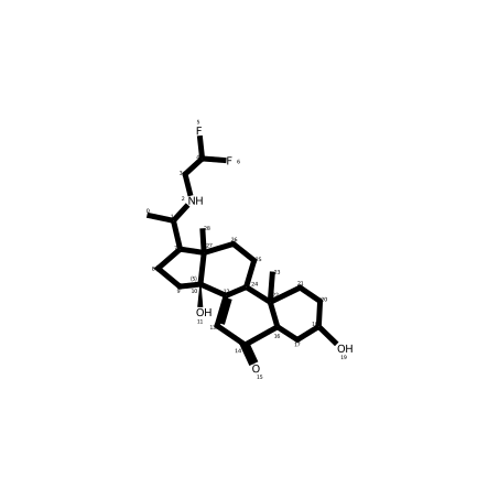 CC(NCC(F)F)C1CC[C@@]2(O)C3=CC(=O)C4CC(O)CCC4(C)C3CCC12C